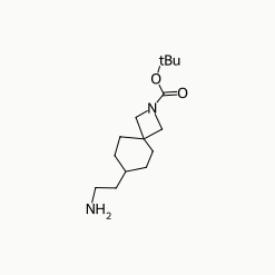 CC(C)(C)OC(=O)N1CC2(CCC(CCN)CC2)C1